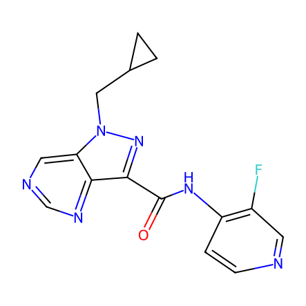 O=C(Nc1ccncc1F)c1nn(CC2CC2)c2cncnc12